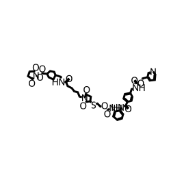 O=C(CCCCCN1C(=O)CC(SCCOC(=O)Nc2ccccc2NC(=O)c2ccc(CNC(=O)OCc3cccnc3)cc2)C1=O)NCC1CCC(C(=O)ON2C(=O)CCC2=O)CC1